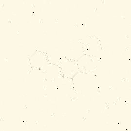 N#Cc1c(N)nc(-c2ccccn2)nc1C1CCCCN1